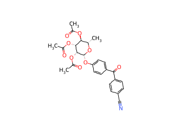 CC(=O)O[C@@H]1[C@@H](OC(C)=O)[C@H](C)O[C@H](Oc2ccc(C(=O)c3ccc(C#N)cc3)cc2)[C@@H]1OC(C)=O